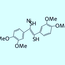 COc1ccc(C(S)=C(S)c2ccc(OC)c(OC)c2)cc1OC.[Ni]